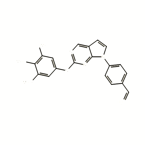 C=Cc1ccc(-n2ccc3cnc(Nc4cc(OC)c(OC)c(OC)c4)nc32)cc1